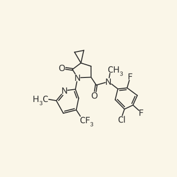 Cc1cc(C(F)(F)F)cc(N2C(=O)C3(CC3)CC2C(=O)N(C)c2cc(Cl)c(F)cc2F)n1